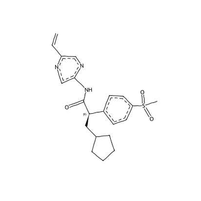 C=Cc1cnc(NC(=O)[C@H](CC2CCCC2)c2ccc(S(C)(=O)=O)cc2)cn1